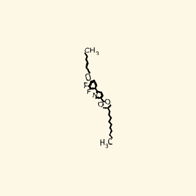 CCCCCCCCCCC1COC(c2ccc(-c3ccc(OCCCCCCC)c(F)c3F)nc2)OC1